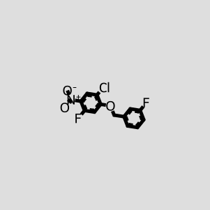 O=[N+]([O-])c1cc(Cl)c(OCc2cccc(F)c2)cc1F